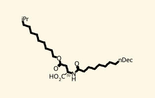 CCCCCCCCCCCCCCCCCC(=O)N[C@@H](CC(=O)OCCCCCCCCCC(C)C)C(=O)O